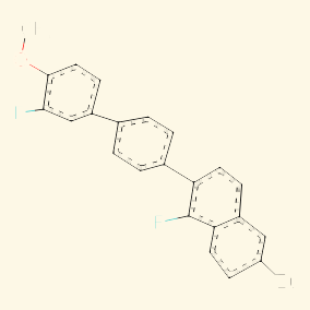 CCc1ccc2c(F)c(-c3ccc(-c4ccc(OC(F)(F)F)c(F)c4)cc3)ccc2c1